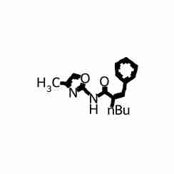 CCCCC(=Cc1ccccc1)C(=O)Nc1nc(C)co1